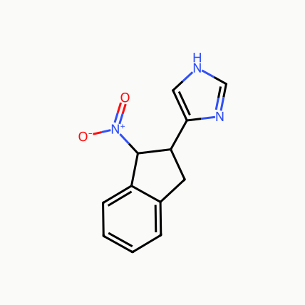 O=[N+]([O-])C1c2ccccc2CC1c1c[nH]cn1